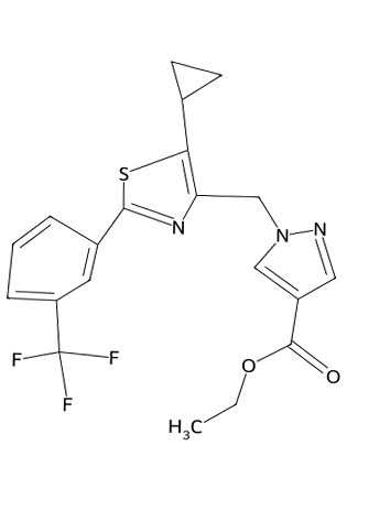 CCOC(=O)c1cnn(Cc2nc(-c3cccc(C(F)(F)F)c3)sc2C2CC2)c1